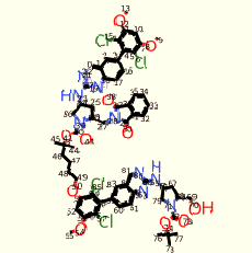 C=C1C=C(c2c(Cl)c(OC)cc(OC)c2Cl)C=C/C1=N/C(=N\C)N[C@H]1C[C@@H](CN2C(=O)c3ccccc3C2=O)N(C(=O)OC(C)(C)CCCCOc2cc(OC)c(Cl)c(-c3ccc4nc(N[C@H]5C[C@@H](CO)N(C(=O)OC(C)(C)C)C5)ncc4c3)c2Cl)C1